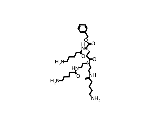 C=C(CCCCN)NCCN(CCNC(=O)CCCCN)C(=O)CC[C@H](NC(=O)CCCCN)C(=O)OCc1ccccc1